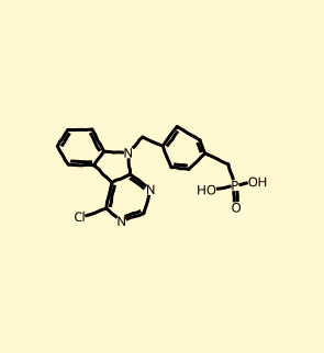 O=P(O)(O)Cc1ccc(Cn2c3ccccc3c3c(Cl)ncnc32)cc1